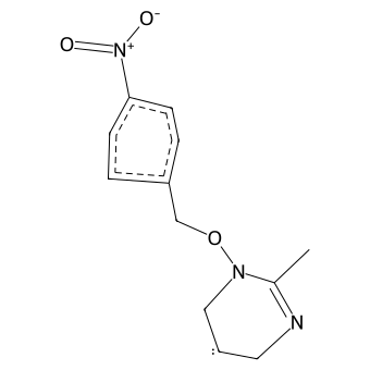 CC1=NC[C]CN1OCc1ccc([N+](=O)[O-])cc1